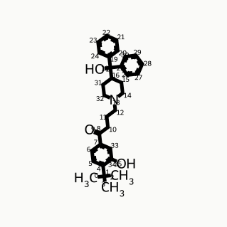 CC(C)(C)c1ccc(C(=O)CCCN2CCC(C(O)(c3ccccc3)c3ccccc3)CC2)cc1O